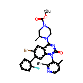 Cc1ccnc(C(C)C)c1-n1c(=O)nc(N2CCN(C(=O)OC(C)(C)C)C[C@@H]2C)c2cc(Br)c(-c3ccccc3F)cc21